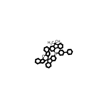 CC1(C)c2ccccc2-c2c(N(c3ccc(-c4ccccc4)cc3)c3ccc4c(c3)C3(c5ccccc5-4)c4ccc5ccccc5c4Oc4c3ccc3ccccc43)cccc21